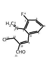 C=Nc1c(F)cccc1/C=C(/C=O)CCl